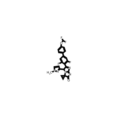 Cn1ccc(C2C(c3c(F)cc(-c4ccc(OC(F)F)cc4)cc3F)=NC3=NC(=O)C4(CC4)N32)n1